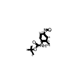 CC(C)(C)OC(=O)Nc1ccc(N=O)cc1I